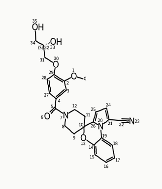 COc1cc(C(=O)N2CCC3(CC2)Oc2ccccc2-n2c(C#N)ccc23)ccc1OC[C@@H](O)CO